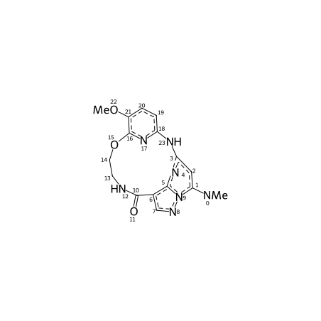 CNc1cc2nc3c(cnn13)C(=O)NCCOc1nc(ccc1OC)N2